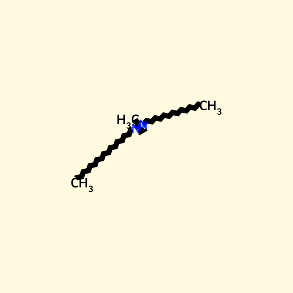 CCCCCCCCCCCCCCCCCC[n+]1ccn(CCCCCCCCCCCCCC)c1C